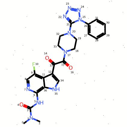 CN(C)C(=O)Nc1ncc(F)c2c(C(=O)C(=O)N3CCN(c4nnnn4-c4ccccc4)CC3)c[nH]c12